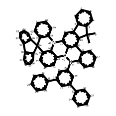 CC1(C)c2ccccc2-c2cc3c4c(c21)-c1ccccc1N(c1cc(-c2ccccc2)cc(-c2ccccc2)c1)B4c1cccc2c1N3c1ccccc1C21c2ccccc2-c2ccccc21